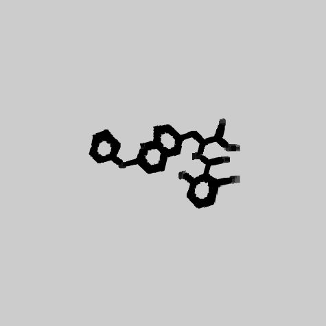 O=C(NC(Cc1ccc2nc(Oc3ccccc3)ccc2c1)C(=O)O)c1c(Cl)cccc1Cl